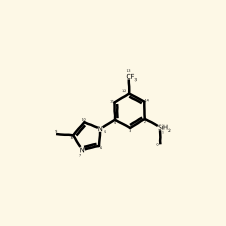 C[SiH2]c1cc(-n2cnc(C)c2)cc(C(F)(F)F)c1